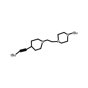 CC(C)(C)C#CC1CCN(CCN2CCN(C(C)(C)C)CC2)CC1